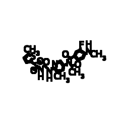 CNc1cc2c(cc1F)C(=O)N(c1cnc(NC(=O)NS(=O)(=O)c3ccc(C)s3)c(C)c1)C(C)O2